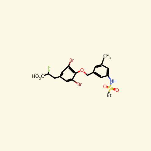 CCS(=O)(=O)Nc1cc(COc2c(Br)cc(CC(F)C(=O)O)cc2Br)cc(C(F)(F)F)c1